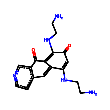 NCCNC1=CC(=O)C(NCCN)=C2C(=O)c3cnccc3C=C12